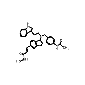 CC(=O)Nc1ccc(CN(CCc2c[nH]c3ccccc23)C2CCc3cc(/C=C/C(=O)NO)ccc32)cc1